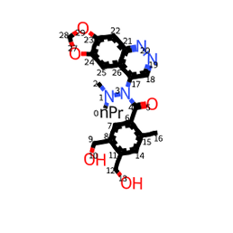 CCCN(C)N(C(=O)c1cc(CO)c(CO)cc1C)c1cnnc2cc3c(cc12)OCO3